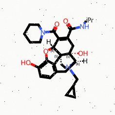 CC(C)NC(=O)C1=C(C(=O)N2CCCCC2)[C@@H]2Oc3c(O)ccc4c3[C@@]23CCN(CC2CC2)[C@H](C4)[C@]3(O)C1